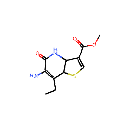 CCC1=C(N)C(=O)NC2C(C(=O)OC)=CSC12